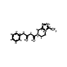 O=C(CC(=O)N1CCn2c(nnc2C(F)(F)F)C1)Cc1ccccc1